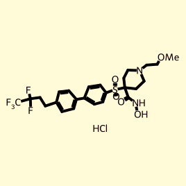 COCCN1CCC(C(=O)NO)(S(=O)(=O)c2ccc(-c3ccc(CCC(F)(F)C(F)(F)F)cc3)cc2)CC1.Cl